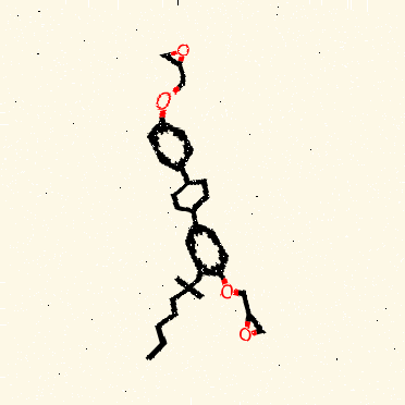 CCCCCC(C)(C)c1cc(C2=CCC(c3ccc(OCC4CO4)cc3)CC2)ccc1OCC1CO1